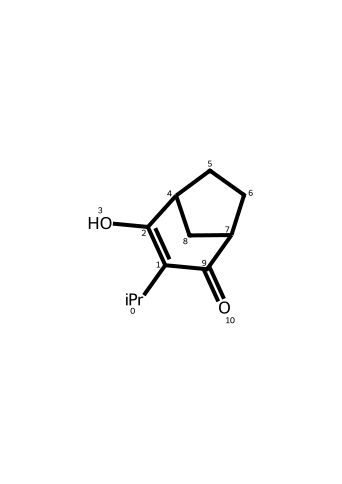 CC(C)C1=C(O)C2CCC(C2)C1=O